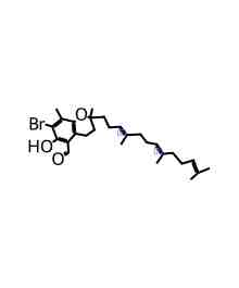 CC(C)=CCC/C(C)=C/CC/C(C)=C/CCC1(C)CCc2c(C=O)c(O)c(Br)c(C)c2O1